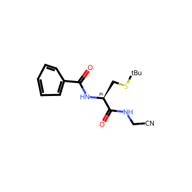 CC(C)(C)SC[C@H](NC(=O)c1ccccc1)C(=O)NCC#N